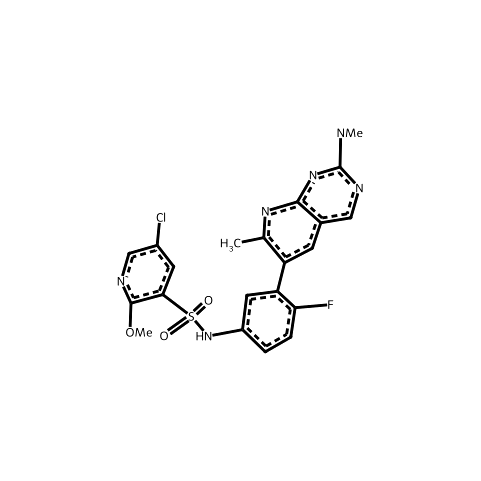 CNc1ncc2cc(-c3cc(NS(=O)(=O)c4cc(Cl)cnc4OC)ccc3F)c(C)nc2n1